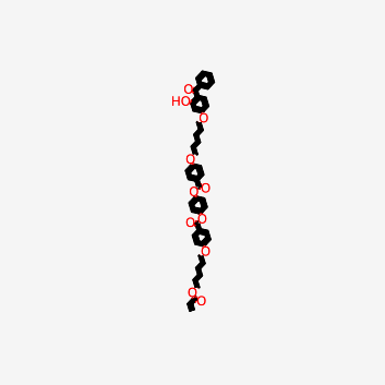 C=CC(=O)OCCCCCCOc1ccc(C(=O)Oc2ccc(OC(=O)c3ccc(OCCCCCCOc4ccc(C(=O)c5ccccc5)c(O)c4)cc3)cc2)cc1